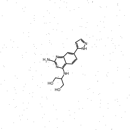 Nc1nc(NC(CO)CO)c2ccc(-c3ccn[nH]3)cc2n1